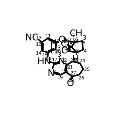 CC1(C)[C@H]2CC[C@]1(C)[C@@H](Oc1cc(C#N)cc(Nc3ncc4c(n3)CCCCC4=O)c1)C2